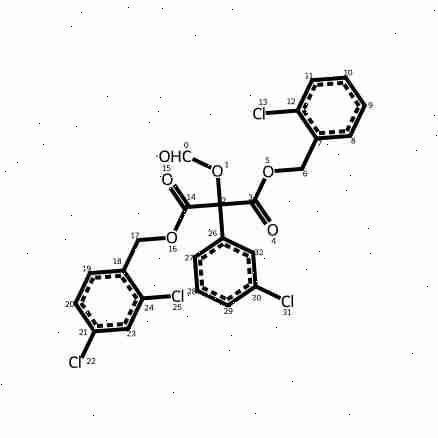 O=[C]OC(C(=O)OCc1ccccc1Cl)(C(=O)OCc1ccc(Cl)cc1Cl)c1cccc(Cl)c1